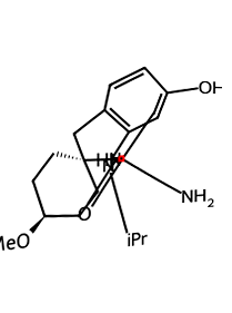 CO[C@H]1CC[C@]2(CC1)Cc1ccc(O)cc1C21NC(N)N(C(C)C)C1=O